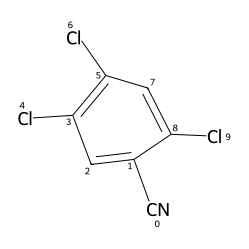 N#Cc1cc(Cl)c(Cl)cc1Cl